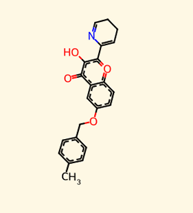 Cc1ccc(COc2ccc3oc(C4=CCCC=N4)c(O)c(=O)c3c2)cc1